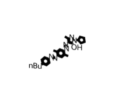 CCCCc1ccc(N=Nc2cc(C)c(N=Nc3c(C)nn(C4CCCC4)c3O)cc2C)cc1